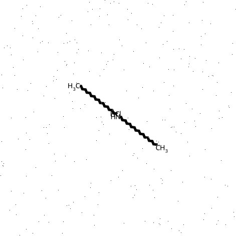 CCCCCCCCCCCCCCCCCCNCCCCCCCCCCCCCCCCCC.Cl